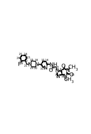 Cn1c(=O)c2c(ncn2CC(=O)Nc2ccc(N3CCN(Cc4ccccc4F)CC3)cn2)n(C)c1=O